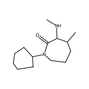 CNC1C(=O)N(C2CCCCC2)CCCC1C